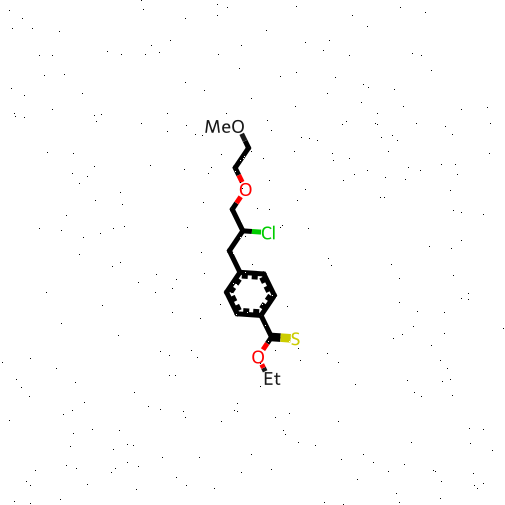 CCOC(=S)c1ccc(CC(Cl)COCCOC)cc1